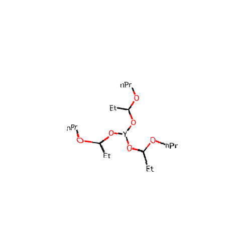 CCCOC(CC)[O][Y]([O]C(CC)OCCC)[O]C(CC)OCCC